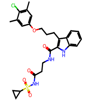 Cc1cc(OCCCc2c(C(=O)NCCC(=O)NS(=O)(=O)C3CC3)[nH]c3ccccc23)cc(C)c1Cl